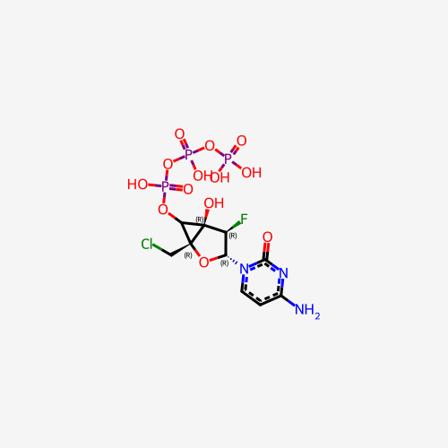 Nc1ccn([C@@H]2O[C@]3(CCl)C(OP(=O)(O)OP(=O)(O)OP(=O)(O)O)[C@]3(O)[C@H]2F)c(=O)n1